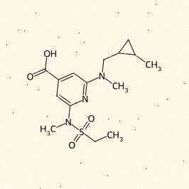 CCS(=O)(=O)N(C)c1cc(C(=O)O)cc(N(C)CC2CC2C)n1